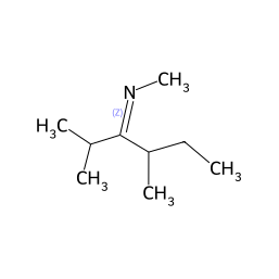 CCC(C)/C(=N\C)C(C)C